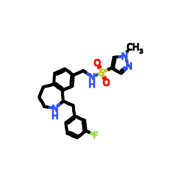 Cn1cc(S(=O)(=O)NCc2ccc3c(c2)C(Cc2cccc(F)c2)NCCC3)cn1